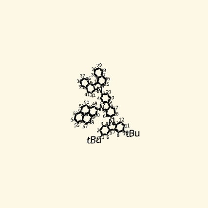 CC(C)(C)c1ccc2c(c1)c1cc(C(C)(C)C)ccc1n2-c1ccc2c3ccc(-n4c5ccc6ccccc6c5c5c6ccccc6ccc54)cc3n(-c3cc4ccc5cccc6ccc(c3)c4c56)c2c1